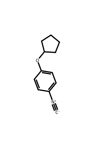 [C-]#[N+]c1ccc(OC2CCCC2)cc1